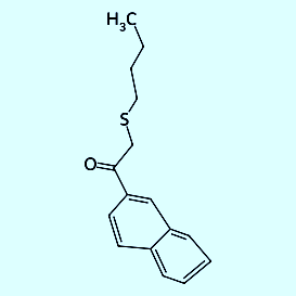 CCCCSCC(=O)c1ccc2ccccc2c1